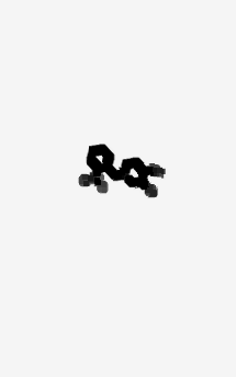 O=C1CN(Cc2ccccc2[N+](=O)[O-])CC=C1Br